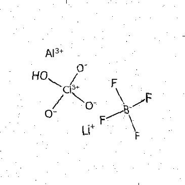 F[B-](F)(F)F.[Al+3].[Li+].[O-][Cl+3]([O-])([O-])O